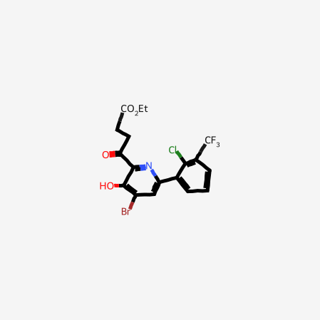 CCOC(=O)CCC(=O)c1nc(-c2cccc(C(F)(F)F)c2Cl)cc(Br)c1O